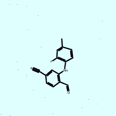 Cc1ccc(Nc2cc(C#N)ccc2C=O)c(F)c1